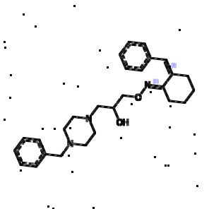 OC(CO/N=C1\CCCC\C1=C\c1ccccc1)CN1CCN(Cc2ccccc2)CC1